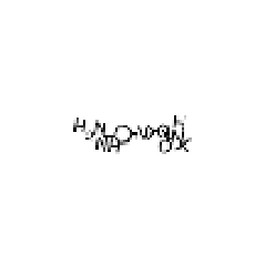 CC(C)(C)NC(=O)OC1CN(C2CCC(C(=N)N)CC2)C1